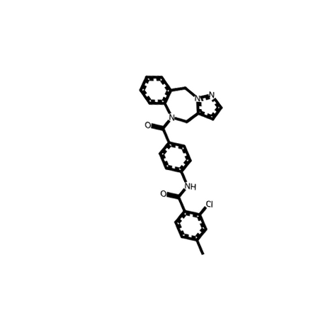 Cc1ccc(C(=O)Nc2ccc(C(=O)N3Cc4ccnn4Cc4ccccc43)cc2)c(Cl)c1